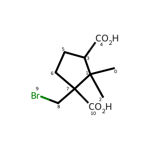 CC1(C)C(C(=O)O)CCC1(CBr)C(=O)O